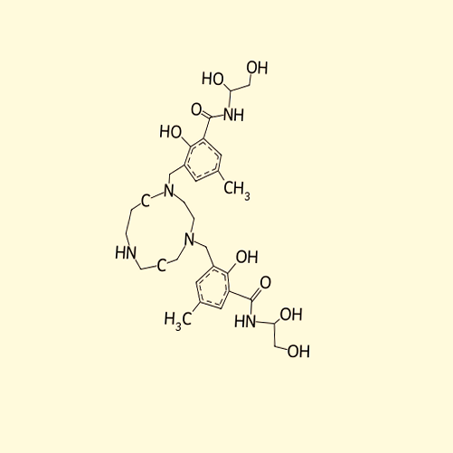 Cc1cc(CN2CCCNCCCN(Cc3cc(C)cc(C(=O)NC(O)CO)c3O)CC2)c(O)c(C(=O)NC(O)CO)c1